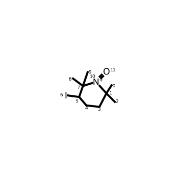 CC1(C)CCC(I)C(C)(C)[N+]1=O